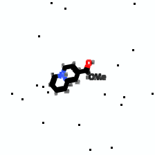 COC(=O)C1=CCN2C=CC=CC2=C1